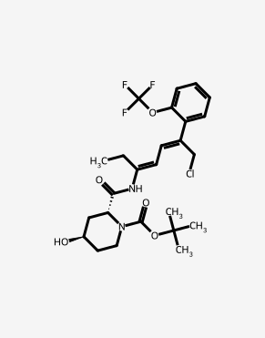 CC/C(=C\C=C(/CCl)c1ccccc1OC(F)(F)F)NC(=O)[C@H]1C[C@H](O)CCN1C(=O)OC(C)(C)C